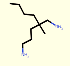 CCCCC(C)(CN)CCCN